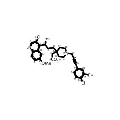 COc1ccc2ncc(Cl)c(C(F)CCC3(CC(=O)O)CCN(CC#Cc4ccc(Cl)c(F)c4)CC3)c2c1